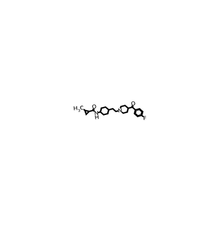 CC1CC1C(=O)NC1CCC(CCN2CCC(C(=O)c3ccc(F)cc3)CC2)CC1